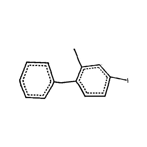 Cc1[c]c(I)ccc1-c1ccccc1